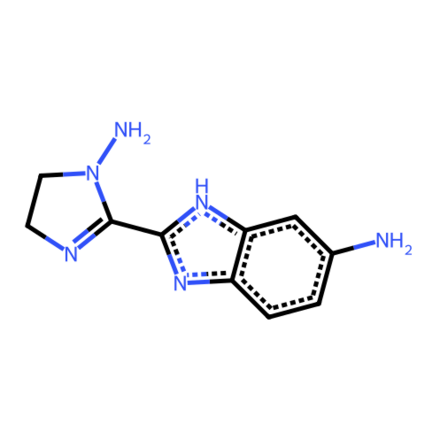 Nc1ccc2nc(C3=NCCN3N)[nH]c2c1